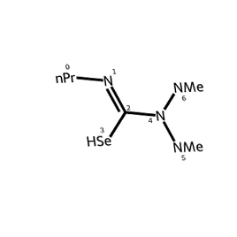 CCCN=C([SeH])N(NC)NC